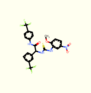 COc1ccc([N+](=O)[O-])cc1NC(=S)NC(C(=O)Nc1ccc(C(F)(F)F)cc1)c1cccc(C(F)(F)F)c1